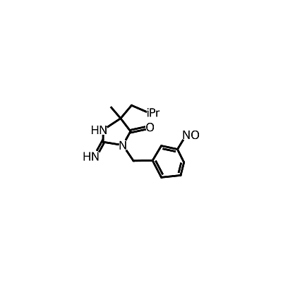 CC(C)CC1(C)NC(=N)N(Cc2cccc(N=O)c2)C1=O